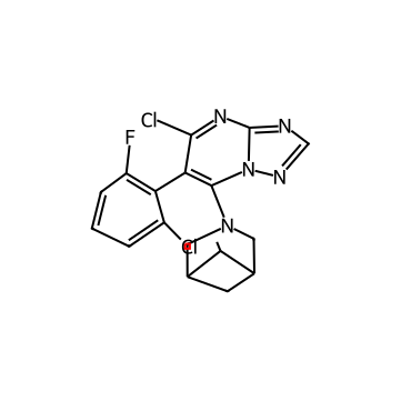 CC1C2CC1CN(c1c(-c3c(F)cccc3Cl)c(Cl)nc3ncnn13)C2